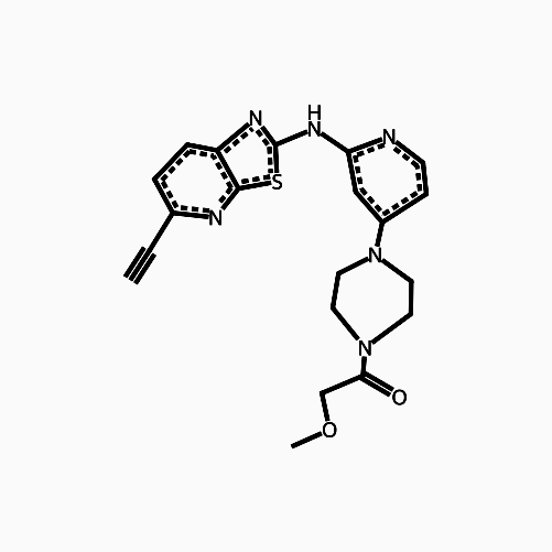 C#Cc1ccc2nc(Nc3cc(N4CCN(C(=O)COC)CC4)ccn3)sc2n1